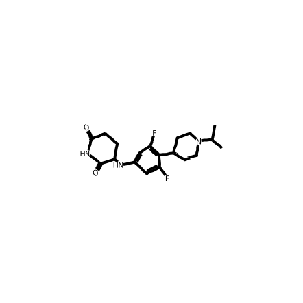 CC(C)N1CCC(c2c(F)cc(NC3CCC(=O)NC3=O)cc2F)CC1